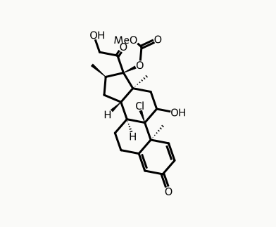 COC(=O)O[C@]1(C(=O)CO)[C@H](C)C[C@H]2[C@@H]3CCC4=CC(=O)C=C[C@]4(C)[C@@]3(Cl)C(O)C[C@@]21C